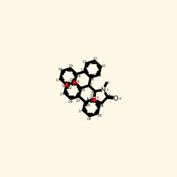 CN1C(=O)CNC1C(c1ccccc1-c1ccccc1)c1ccccc1-c1ccccc1